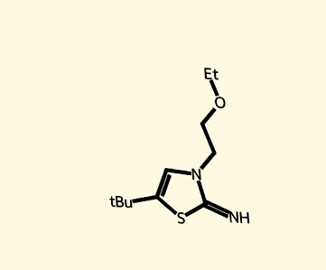 CCOCCn1cc(C(C)(C)C)sc1=N